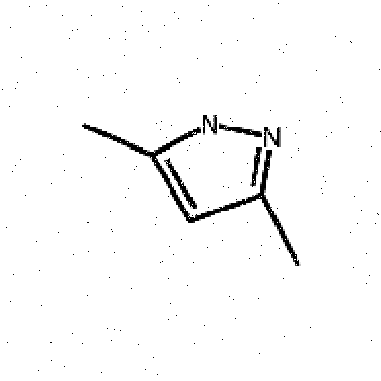 CC1=CC(C)=N[N]1